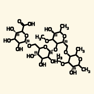 COC1C(OC[C@@H]2OC(C)[C@H](O)C(OC)C2O[C@H]2OC(CO[C@H]3OC(C(=O)O)[C@@H](O)C(O)C3O)[C@@H](O)C(O)C2O)C(C)OC(C)[C@@H]1O